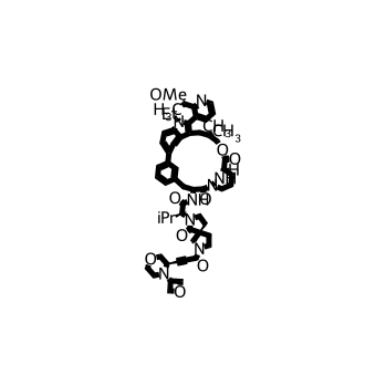 CCn1c(-c2cccnc2[C@H](C)OC)c2c3cc(ccc31)-c1cccc(c1)CC(NC(=O)[C@H](C(C)C)N1CC[C@]3(CCN(C(=O)C#C[C@@H]4COCCN4C4COC4)C3)C1=O)C(=O)N1CCC[C@H](N1)C(=O)OCC(C)(C)C2